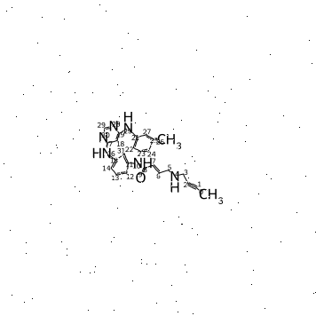 CC#CCNC/C=C/C(=O)Nc1cccc(Nc2cc(Nc3cccc(C)c3)ncn2)c1